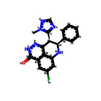 Cn1ncnc1[C@H]1c2n[nH]c(=O)c3cc(F)cc(c23)N[C@@H]1c1ccccc1